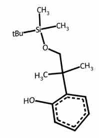 CC(C)(CO[Si](C)(C)C(C)(C)C)c1ccccc1O